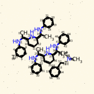 CC(Nc1ccccc1)=C1C=CCC(=C(C)Nc2ccccc2)N1.CC(Nc1ccccc1)=C1C=CCC(=C(C)Nc2ccccc2)N1.C[N](C)[Ti][CH2]c1ccccc1.[Ti]